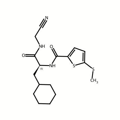 CSc1ccc(C(=O)N[C@@H](CC2CCCCC2)C(=O)NCC#N)s1